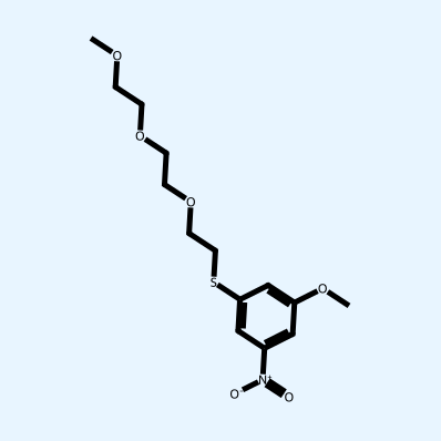 COCCOCCOCCSc1cc(OC)cc([N+](=O)[O-])c1